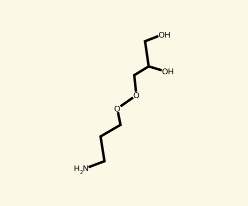 NCCCOOCC(O)CO